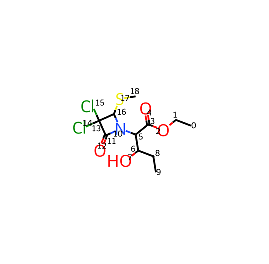 CCOC(=O)C(C(O)CC)N1C(=O)C(Cl)(Cl)C1SC